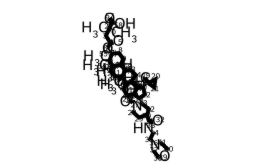 CC(C)(CC(=O)O[C@H]1CC[C@]2(C)[C@H]3CC[C@@H]4[C@H]5[C@H](C6(C)CC6)CC[C@]5(C(=O)N5CCC(C(=O)NCCN6CCOCC6)CC5)CC[C@@]4(C)[C@]3(C)CC[C@H]2C1(C)C)C(=O)O